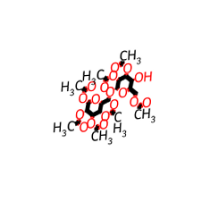 CC(=O)OCC1O[C@H](OCC2OC(OC(C)=O)[C@@H](OC(C)=O)C(OC(C)=O)[C@@H]2OC(C)=O)C(OC(C)=O)C(OC(C)=O)[C@H]1O